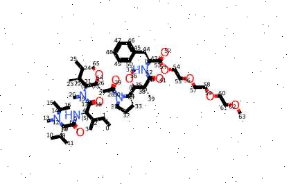 CCC(C)[C@H](NC(=O)[C@H](C(C)C)N(C)C(C)C)C(=O)N(C)[C@@H]([C@@H](C)CC)[C@@H](CC(=O)N1CCC[C@H]1[C@H](OC)[C@@H](C)C(=O)N[C@@H](Cc1ccccc1)C(=O)OCCOCCOCCOC)OC